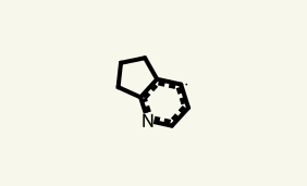 [c]1ccnc2c1CCC2